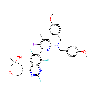 COc1ccc(CN(Cc2ccc(OC)cc2)c2cc(C)c(I)c(-c3c(F)cc4c(C5CCOCC(C)(O)C5)nc(F)nc4c3F)n2)cc1